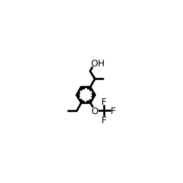 CCc1ccc([C](C)CO)cc1OC(F)(F)F